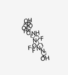 O[C@@H]1CCN(c2ccc(-c3nc4cc(O[C@@H]5CO[C@H]6[C@@H]5OC[C@H]6O)[nH]c4cc3F)c(OC(F)F)n2)C1